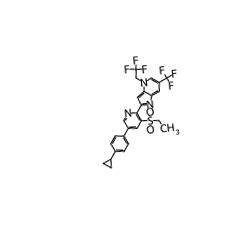 CCS(=O)(=O)c1cc(-c2ccc(C3CC3)cc2)cnc1-c1cc2n(CC(F)(F)F)cc(C(F)(F)F)cc-2n1